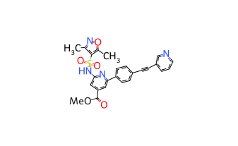 COC(=O)c1cc(NS(=O)(=O)c2c(C)noc2C)nc(-c2ccc(C#Cc3cccnc3)cc2)c1